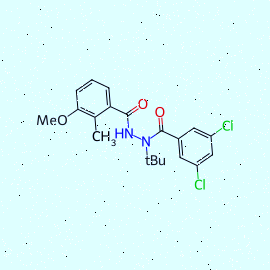 COc1cccc(C(=O)NN(C(=O)c2cc(Cl)cc(Cl)c2)C(C)(C)C)c1C